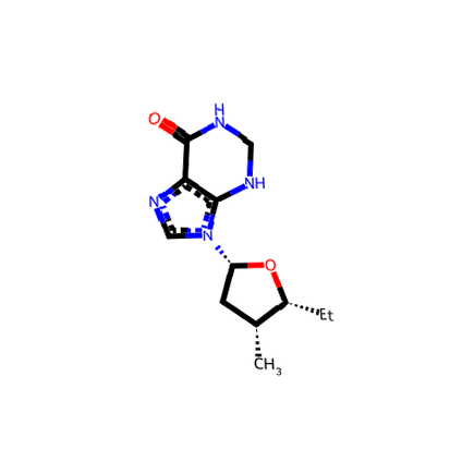 CC[C@H]1O[C@@H](n2cnc3c2NCNC3=O)C[C@H]1C